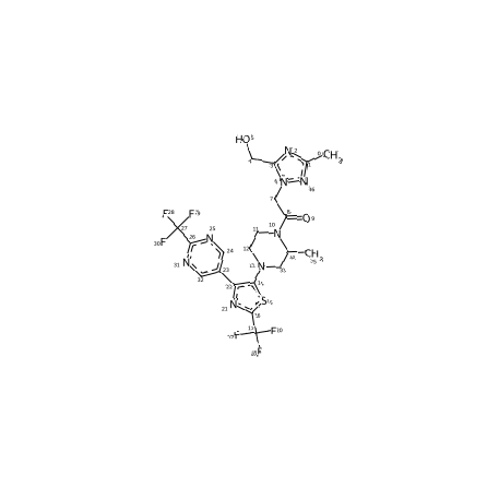 Cc1nc(CO)n(CC(=O)N2CCN(c3sc(C(F)(F)F)nc3-c3cnc(C(F)(F)F)nc3)CC2C)n1